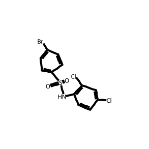 O=S(=O)(Nc1ccc(Cl)cc1Cl)c1ccc(Br)cc1